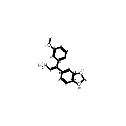 COc1cccc(C(=CN)c2ccc3c(c2)OCO3)c1